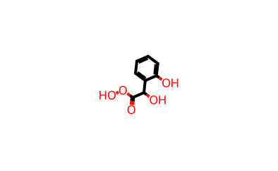 O=C(OO)C(O)c1ccccc1O